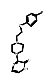 O=c1[nH]ccnc1N1CCN(CCOc2ccc(F)cc2)CC1